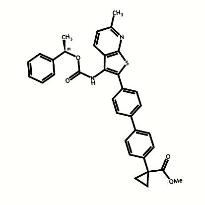 COC(=O)C1(c2ccc(-c3ccc(-c4sc5nc(C)ccc5c4NC(=O)O[C@H](C)c4ccccc4)cc3)cc2)CC1